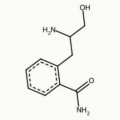 NC(=O)c1ccccc1CC(N)CO